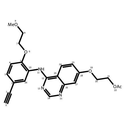 C#Cc1ccc(OCCOC)c(Nc2ncnc3cc(OCCOC(C)=O)ccc23)c1